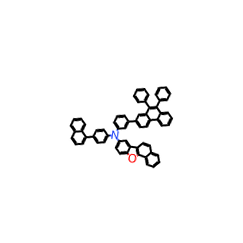 c1ccc(-c2c(-c3ccccc3)c3cc(-c4cccc(N(c5ccc(-c6cccc7ccccc67)cc5)c5ccc6oc7c8ccccc8ccc7c6c5)c4)ccc3c3ccccc23)cc1